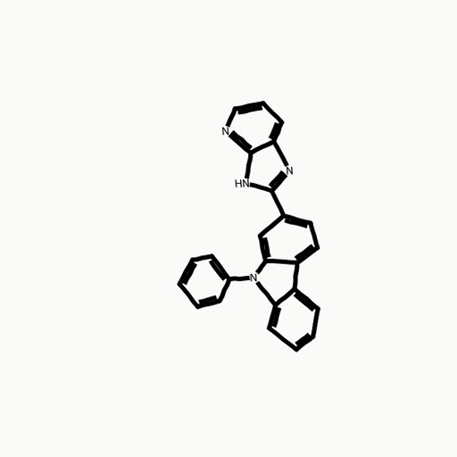 c1ccc(-n2c3ccccc3c3ccc(-c4nc5cccnc5[nH]4)cc32)cc1